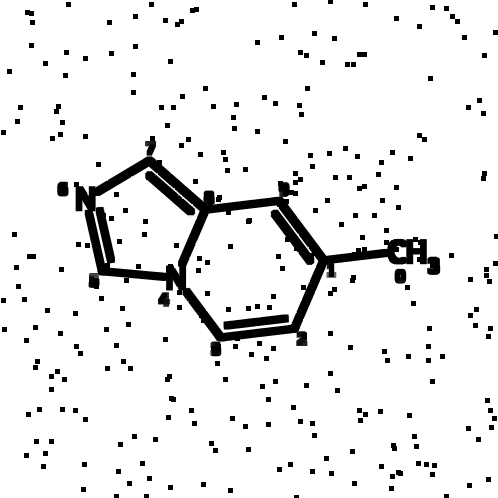 Cc1ccn2cncc2c1